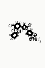 NS(=O)(=O)c1ccc(N2C[C@@H](c3ccc(Cl)c(Oc4ccccc4Cl)c3)CC2=O)cc1